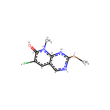 CSc1ncc2cc(F)c(=O)n(C)c2n1